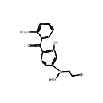 CCCCCCN(CCC(C)C)c1ccc(C(=O)c2ccccc2C(=O)O)c(O)c1